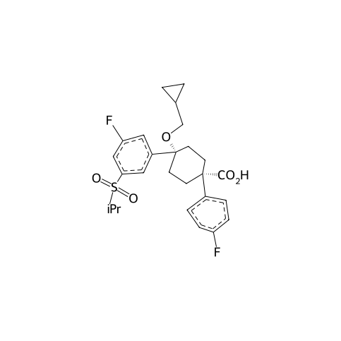 CC(C)S(=O)(=O)c1cc(F)cc([C@]2(OCC3CC3)CC[C@](C(=O)O)(c3ccc(F)cc3)CC2)c1